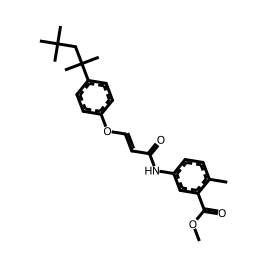 COC(=O)c1cc(NC(=O)/C=C/Oc2ccc(C(C)(C)CC(C)(C)C)cc2)ccc1C